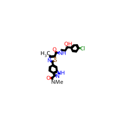 CNC(=O)c1n[nH]c2cc(-c3nc(C)c(C(=O)NCC[C@H](O)c4ccc(Cl)cc4)s3)ccc12